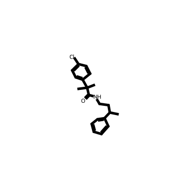 CC(CCNC(=O)C(C)(C)c1ccc(Cl)cc1)c1ccccc1